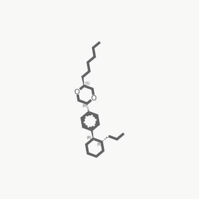 CCCCCC[C@H]1CO[C@H](c2ccc([C@@H]3CCCC[C@H]3CCC)cc2)CO1